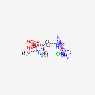 CCCCCCN(CCCN[C@@H](CCc1ccc(CCCCNC(=N)NC(=O)c2nc(Cl)c(N)nc2N)c2ccccc12)C(N)=O)C[C@H](O)[C@@H](O)[C@H](O)[C@H](O)CO.Cl